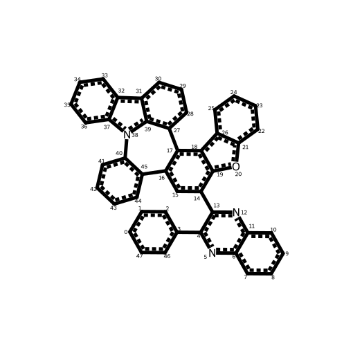 c1ccc(-c2nc3ccccc3nc2-c2cc3c(c4c2oc2ccccc24)-c2cccc4c5ccccc5n(c24)-c2ccccc2-3)cc1